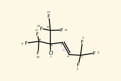 FC(F)(F)/C=C/C(Cl)(C(F)(F)F)C(F)(F)F